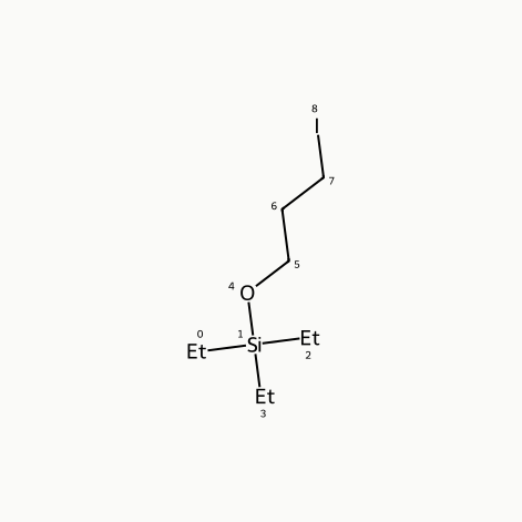 CC[Si](CC)(CC)OCCCI